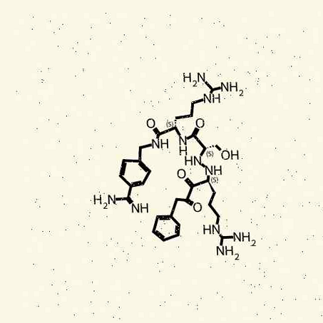 N=C(N)c1ccc(CNC(=O)[C@H](CCCNC(N)N)NC(=O)[C@H](CO)NN[C@@H](CCCNC(N)N)C(=O)C(=O)Cc2ccccc2)cc1